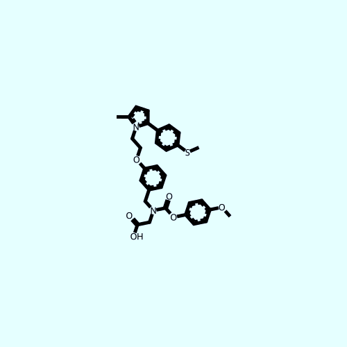 COc1ccc(OC(=O)N(CC(=O)O)Cc2cccc(OCCn3c(C)ccc3-c3ccc(SC)cc3)c2)cc1